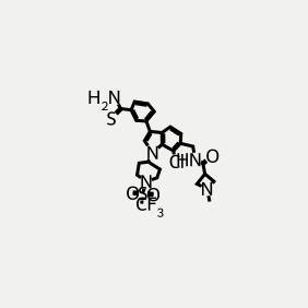 CN1CC(C(=O)NCc2ccc3c(-c4cccc(C(N)=S)c4)cn(C4CCN(S(=O)(=O)C(F)(F)F)CC4)c3c2Cl)C1